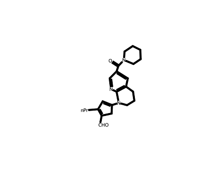 CCCC1=C(C=O)CC(N2CCCc3cc(C(=O)N4CCCCC4)cnc32)=C1